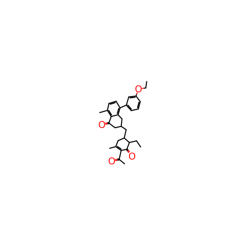 CCOc1cccc(-c2ccc(C)c3c2CC(CC2CC(C)=C(C(C)=O)C(=O)C2CC)CC3=O)c1